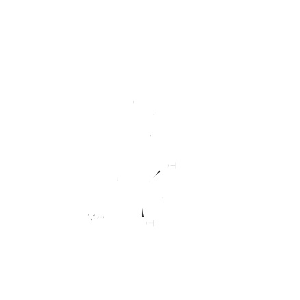 CO[C@@H]1O[C@H](COC(=O)c2ccccc2)[C@]2(O)C[C@]12O